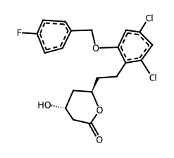 O=C1C[C@H](O)C[C@@H](CCc2c(Cl)cc(Cl)cc2OCc2ccc(F)cc2)O1